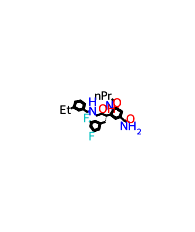 CCCc1nc2c([C@H](Cc3cc(F)cc(F)c3)[C@@H](O)CNCc3cccc(CC)c3)cc(C(N)=O)cc2o1